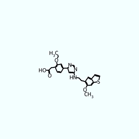 CCOc1cc(-c2cc(NCCc3cc4ccsc4cc3OC)ncn2)ccc1CC(=O)O